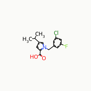 CC(C)c1cc(C(=O)O)n(Cc2cc(F)cc(Cl)c2)c1